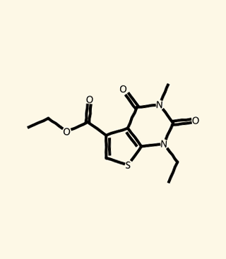 CCOC(=O)c1csc2c1c(=O)n(C)c(=O)n2CC